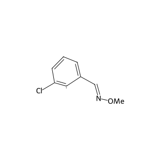 CON=Cc1[c]c(Cl)ccc1